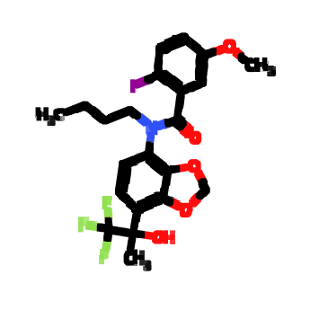 CCCCN(C(=O)c1cc(OC)ccc1I)c1ccc(C(C)(O)C(F)(F)F)c2c1OCO2